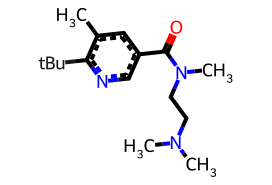 Cc1cc(C(=O)N(C)CCN(C)C)cnc1C(C)(C)C